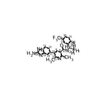 [2H]C([2H])([2H])[C@@H](NC(=O)c1cc(-c2ccn3nc(N)nc3c2)c(C)nc1C)c1cc(C(F)(F)F)ccc1F